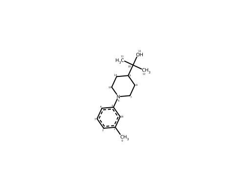 Cc1cccc(N2CCC(C(C)(C)O)CC2)c1